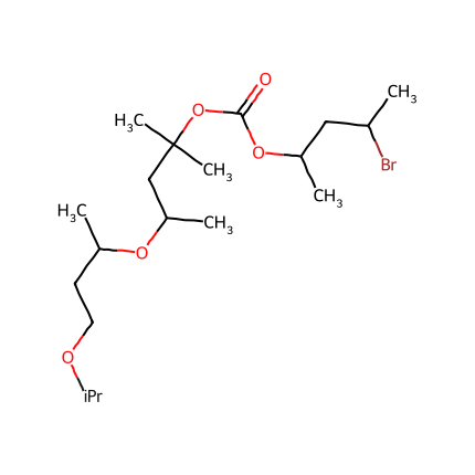 CC(Br)CC(C)OC(=O)OC(C)(C)CC(C)OC(C)CCOC(C)C